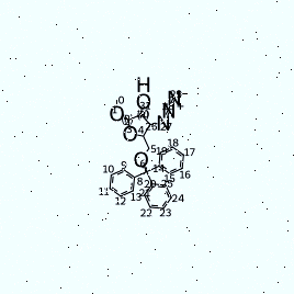 CO[C@@H]1OC(COC(c2ccccc2)(c2ccccc2)c2ccccc2)C(N=[N+]=[N-])[C@H]1O